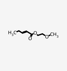 CCC=CC(=O)OCCOC